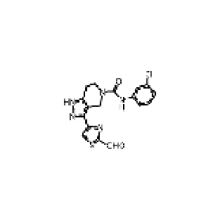 O=Cc1nc(-c2n[nH]c3c2CN(C(=O)Nc2cccc(Cl)c2)CC3)cs1